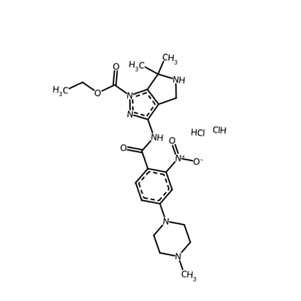 CCOC(=O)n1nc(NC(=O)c2ccc(N3CCN(C)CC3)cc2[N+](=O)[O-])c2c1C(C)(C)NC2.Cl.Cl